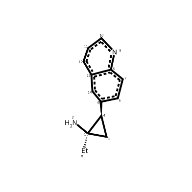 CC[C@@]1(N)C[C@@H]1c1ccc2ncccc2c1